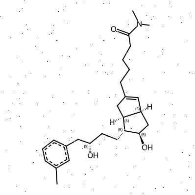 Cc1cccc(C[C@@H](O)CC[C@@H]2[C@H]3CC(CCCCC(=O)N(C)C)=C[C@H]3C[C@H]2O)c1